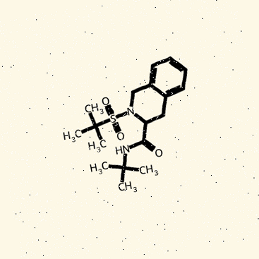 CC(C)(C)NC(=O)C1Cc2ccccc2CN1S(=O)(=O)C(C)(C)C